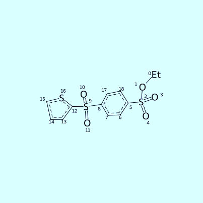 CCOS(=O)(=O)c1ccc(S(=O)(=O)c2cccs2)cc1